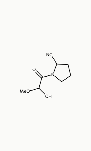 COC(O)C(=O)N1CCCC1C#N